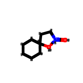 O=[N+]1CCC2(CCCCC2)O1